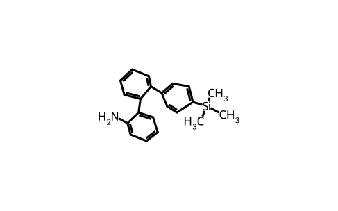 C[Si](C)(C)c1ccc(-c2ccccc2-c2ccccc2N)cc1